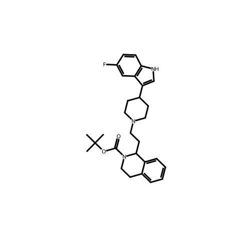 CC(C)(C)OC(=O)N1CCc2ccccc2C1CCN1CCC(c2c[nH]c3ccc(F)cc23)CC1